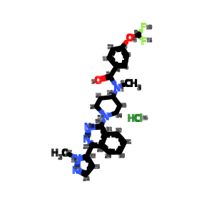 CN(C(=O)c1ccc(OC(F)F)cc1)C1CCN(c2nnc(-c3ccnn3C)c3ccccc23)CC1.Cl